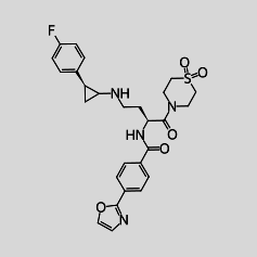 O=C(N[C@@H](CCNC1C[C@H]1c1ccc(F)cc1)C(=O)N1CCS(=O)(=O)CC1)c1ccc(-c2ncco2)cc1